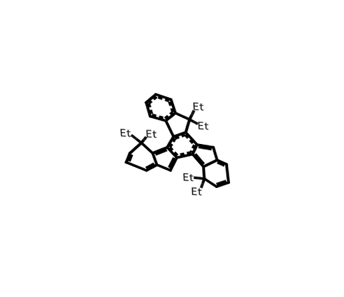 CCC1(CC)C=CC=C2C=c3c(c4c(c5c3=C3C(=CC=CC3(CC)CC)C=5)C(CC)(CC)c3ccccc3-4)=C21